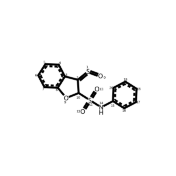 O=S=C1c2ccccc2OC1S(=O)(=O)Nc1ccccc1